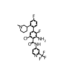 CN1CCCC(c2cc(F)ccc2-c2cc(Cl)c(C(=O)Nc3ccnc(C(F)(F)F)c3)c(N)c2F)C1